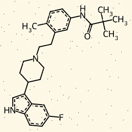 Cc1ccc(NC(=O)C(C)(C)C)cc1CCN1CCC(c2c[nH]c3ccc(F)cc23)CC1